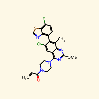 C=CC(=O)N1CCN(c2nc(OC)nc3c(C)c(-c4ccc(F)c5scnc45)c(Cl)cc23)CC1